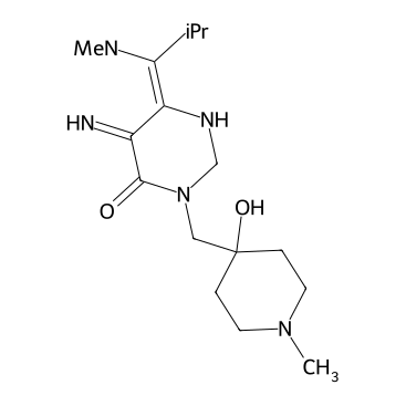 CN/C(=C1/NCN(CC2(O)CCN(C)CC2)C(=O)C1=N)C(C)C